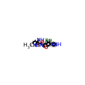 Cc1ccc2c(N)c(C(=O)N[C@H]3COc4cc(N5CCNCC5)c(F)c(F)c4C3)sc2n1